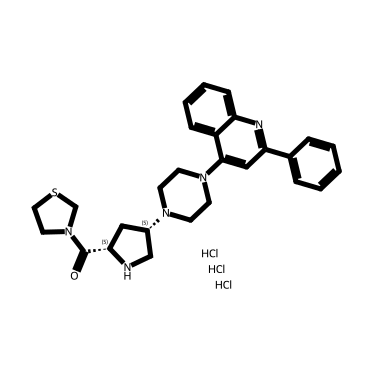 Cl.Cl.Cl.O=C([C@@H]1C[C@H](N2CCN(c3cc(-c4ccccc4)nc4ccccc34)CC2)CN1)N1CCSC1